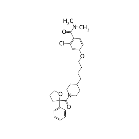 CN(C)C(=O)c1ccc(OCCCCC2CCN(C(=O)[C@@]3(c4ccccc4)CCCO3)CC2)cc1Cl